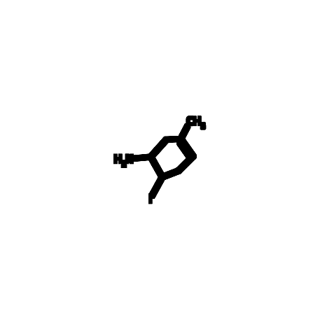 CC1=CCC(I)C(N)C1